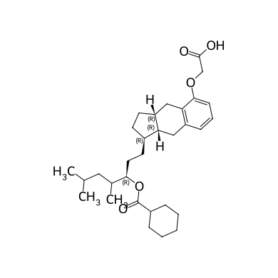 CC(C)CC(C)[C@@H](CC[C@H]1CC[C@@H]2Cc3c(cccc3OCC(=O)O)C[C@H]12)OC(=O)C1CCCCC1